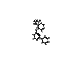 O=C(O)N[C@@H]1CCCN[C@@H]1Cc1cccc(-c2ccccc2)n1